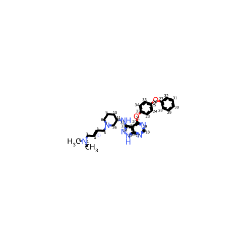 CN(C)C/C=C/CN1CCC[C@@H](Nc2n[nH]c3ncnc(Oc4ccc(Oc5ccccc5)cc4)c23)C1